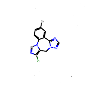 N#Cc1ccc2c(c1)-c1ncnn1Cc1c(Cl)ncn1-2